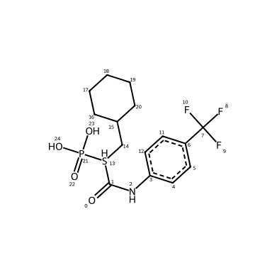 O=C(Nc1ccc(C(F)(F)F)cc1)[SH](CC1CCCCC1)P(=O)(O)O